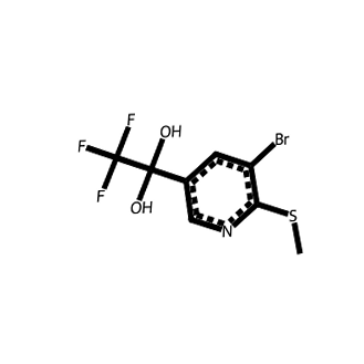 CSc1ncc(C(O)(O)C(F)(F)F)cc1Br